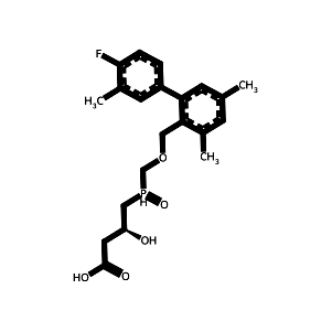 Cc1cc(C)c(COC[PH](=O)C[C@@H](O)CC(=O)O)c(-c2ccc(F)c(C)c2)c1